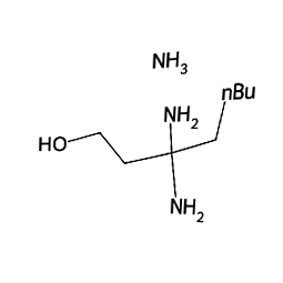 CCCCCC(N)(N)CCO.N